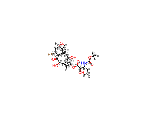 CC1=C2[C@@H](O)C(=O)[C@@]3(C)[C@H]([C@H](C)[C@](O)(C[C@@H]1OC(=O)[C@H](O)[C@H](CC(C)C)NC(=O)OC(C)(C)C)C2(C)C)[C@]1(C)CO[C@@H]1C[C@@H]3S